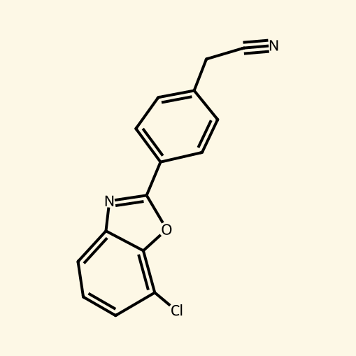 N#CCc1ccc(-c2nc3cccc(Cl)c3o2)cc1